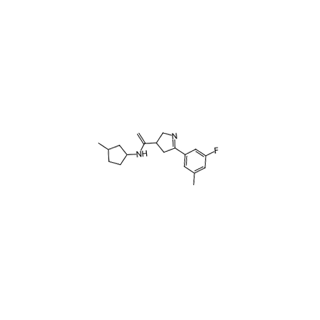 C=C(NC1CCC(C)C1)C1CN=C(c2cc(C)cc(F)c2)C1